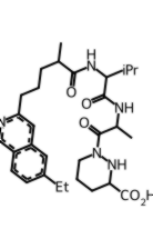 CCc1ccc2cnc(CCCC(C)C(=O)NC(C(=O)NC(C)C(=O)N3CCCC(C(=O)O)N3)C(C)C)cc2c1